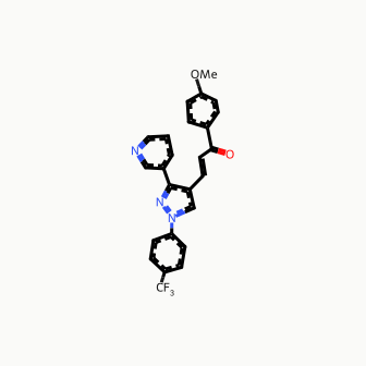 COc1ccc(C(=O)C=Cc2cn(-c3ccc(C(F)(F)F)cc3)nc2-c2cccnc2)cc1